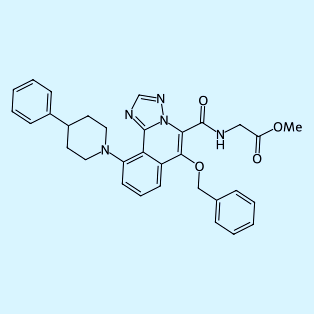 COC(=O)CNC(=O)c1c(OCc2ccccc2)c2cccc(N3CCC(c4ccccc4)CC3)c2c2ncnn12